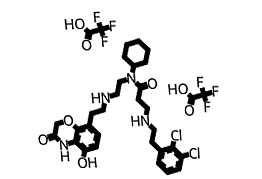 O=C(O)C(F)(F)F.O=C(O)C(F)(F)F.O=C1COc2c(CCNCCN(C(=O)CCNCCc3cccc(Cl)c3Cl)C3CCCCC3)ccc(O)c2N1